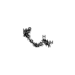 C[C@@H](Nc1ncc2c(-c3ccc(CN4CCN(CCCOCCCc5ccc6c(c5)n(C)c(=O)n6C5CCC(=O)NC5=O)CC4)cc3)c[nH]c2n1)C(F)F